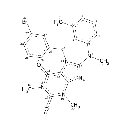 CN(c1cccc(C(F)(F)F)c1)c1nc2c(c(=O)n(C)c(=O)n2C)n1Cc1cccc(Br)c1